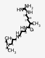 CCN(CC)CCCNCCCNC(=O)C(C)CCCNC(=N)N